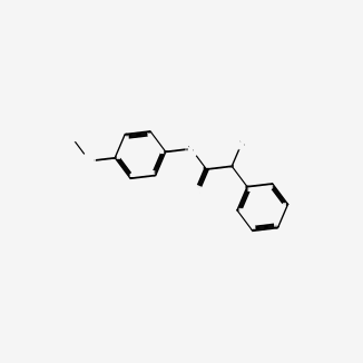 COc1ccc(NC(=O)C(N)c2ccccc2)cc1